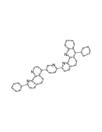 c1ccc(-c2ccc3ccc4c(-c5ccc(-c6ccc7ccc8c(-c9ccccc9)c9ccccc9nc8c7n6)nc5)ccnc4c3n2)cc1